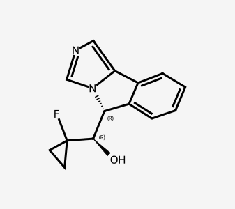 O[C@H]([C@H]1c2ccccc2-c2cncn21)C1(F)CC1